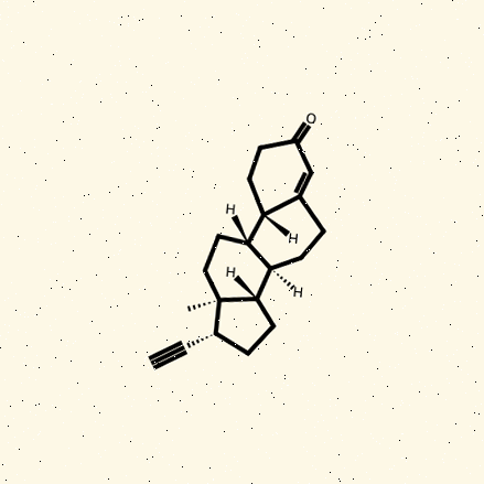 C#C[C@H]1CC[C@H]2[C@@H]3CCC4=CC(=O)CC[C@H]4[C@H]3CC[C@]12C